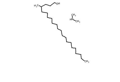 CNC.[CH2]C(CCCO)CCCCCCCCCCCCCCCCCC